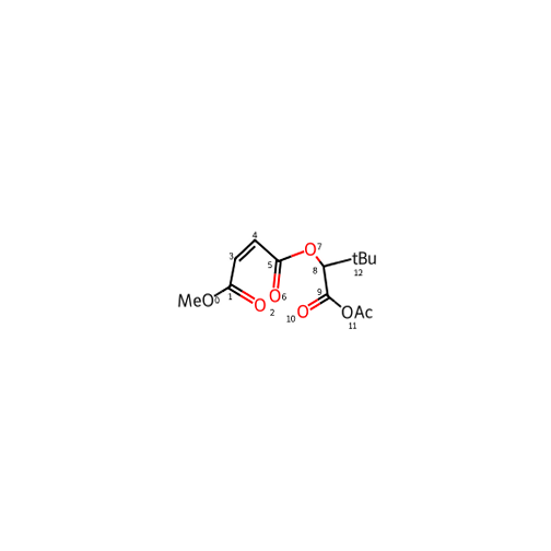 COC(=O)/C=C\C(=O)OC(C(=O)OC(C)=O)C(C)(C)C